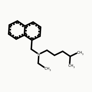 CCN(CCCC(C)C)Cc1cccc2ccccc12